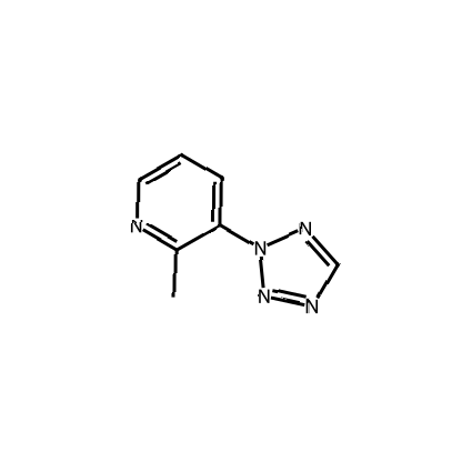 Cc1ncccc1-n1ncnn1